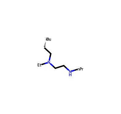 CCCNCCN(CC)CC[C@@H](C)CC